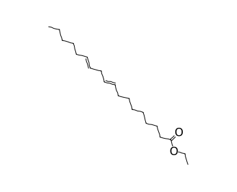 CCCCCC=CCC=CCCCCCCCC(=O)OCC